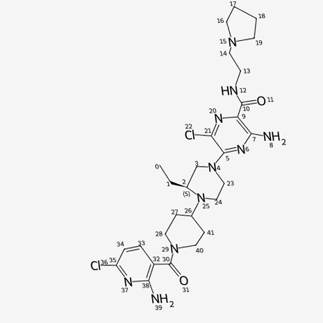 CC[C@H]1CN(c2nc(N)c(C(=O)NCCN3CCCC3)nc2Cl)CCN1C1CCN(C(=O)c2ccc(Cl)nc2N)CC1